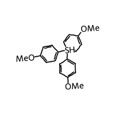 COC1=CC=[SH](c2ccc(OC)cc2)(c2ccc(OC)cc2)C=C1